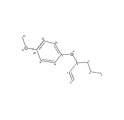 C=CC(CCC)Oc1ccc(OC)cc1